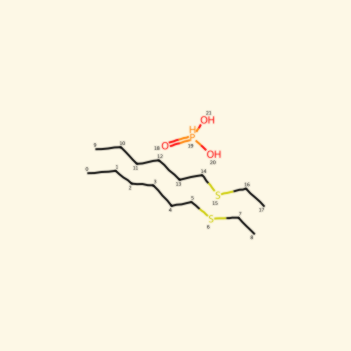 CCCCCCSCC.CCCCCCSCC.O=[PH](O)O